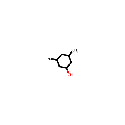 CC1CC(O)CC(C(C)C)C1